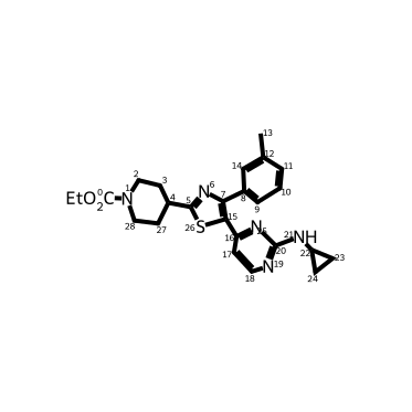 CCOC(=O)N1CCC(c2nc(-c3cccc(C)c3)c(-c3ccnc(NC4CC4)n3)s2)CC1